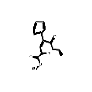 C=CCC(=O)C(=CC(C(=O)OC(C)(C)C)C(C)C)c1ccccc1